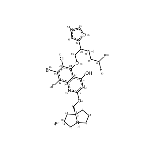 Oc1nc(OC[C@@]23CCCN2C[C@H](F)C3)nc2c(F)c(Br)c(Cl)c(OCC(NCC(F)F)c3cnco3)c12